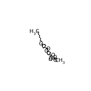 CCCCCCCCOc1ccc(C(=O)Oc2ccc(C(=O)N3CCC[C@H]3C(=O)OC)cc2)cc1